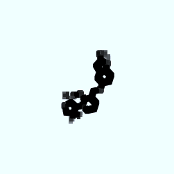 COC1C(COc2ccc3oc(C)cc3c2)=CC=CN1C1COCC1(F)F